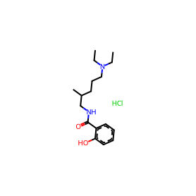 CCN(CC)CCCC(C)CNC(=O)c1ccccc1O.Cl